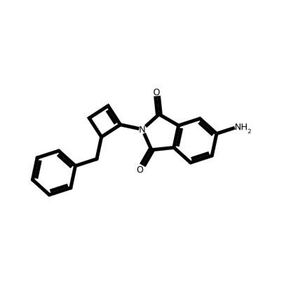 Nc1ccc2c(c1)C(=O)N(C1=CCC1Cc1ccccc1)C2=O